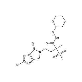 CC(CCN1Cc2cc(Br)sc2C1=O)(C(=O)NOC1CCCCO1)S(C)(=O)=O